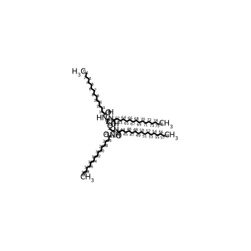 CCCCCCCCCCCCCCCC(=O)NC(COCC(NC(=O)CCCCCCCCCCCCCCC)NC(=O)CCCCCCCCCCCCCCC)NC(=O)CCCCCCCCCCCCCCC